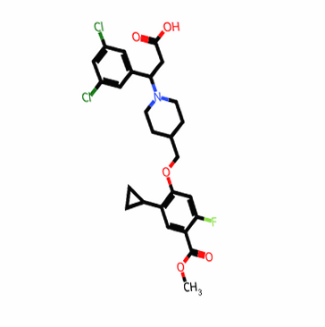 COC(=O)c1cc(C2CC2)c(OCC2CCN(C(CC(=O)O)c3cc(Cl)cc(Cl)c3)CC2)cc1F